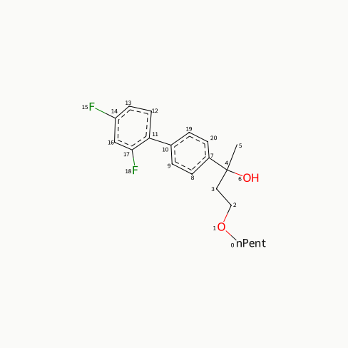 CCCCCOCCC(C)(O)c1ccc(-c2ccc(F)cc2F)cc1